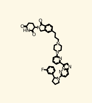 O=C1CCC(N2Cc3cc(CCCN4CCN(c5cccc(-c6cnc7ccc(N8CCCC8c8cccc(F)c8)nn67)n5)CC4)ccc3C2=O)C(=O)N1